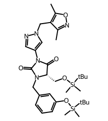 Cc1noc(C)c1Cn1cc(N2C(=O)[C@H](CO[Si](C)(C)C(C)(C)C)N(Cc3cccc(O[Si](C)(C)C(C)(C)C)c3)C2=O)cn1